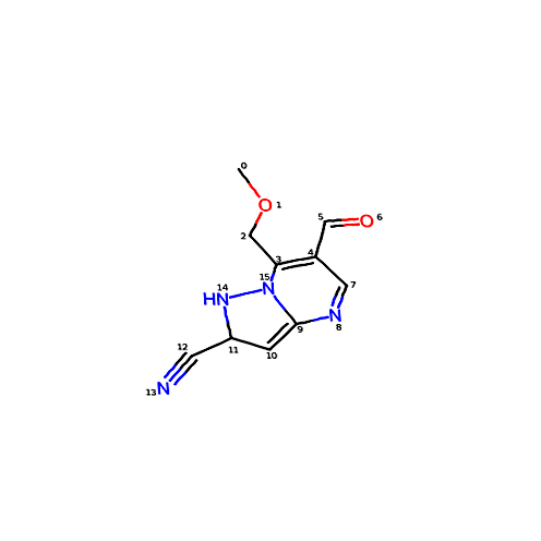 COCC1=C(C=O)C=NC2=CC(C#N)NN21